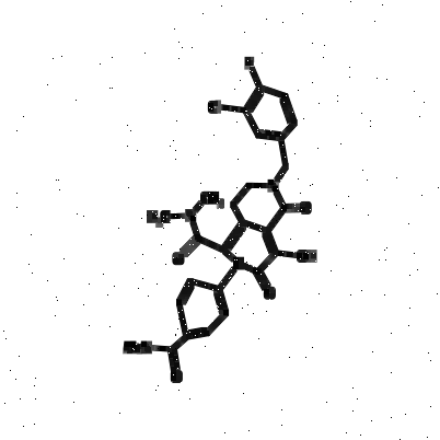 CNC(=O)c1ccc(-n2c(C(=O)N(C)C)c3c(c(O)c2=O)C(=O)N(Cc2ccc(F)c(Cl)c2)CC3)cc1